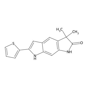 CC1(C)C(=O)Nc2cc3[nH]c(-c4cccs4)cc3cc21